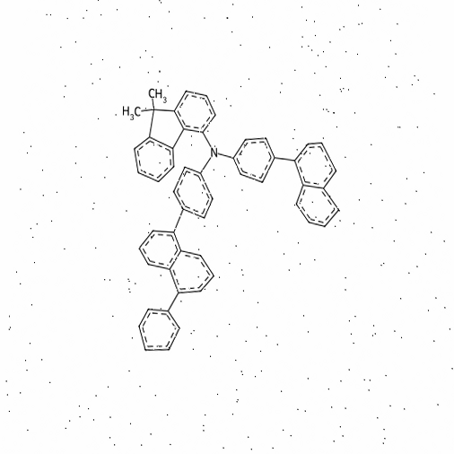 CC1(C)c2ccccc2-c2c(N(c3ccc(-c4cccc5ccccc45)cc3)c3ccc(-c4cccc5c(-c6ccccc6)cccc45)cc3)cccc21